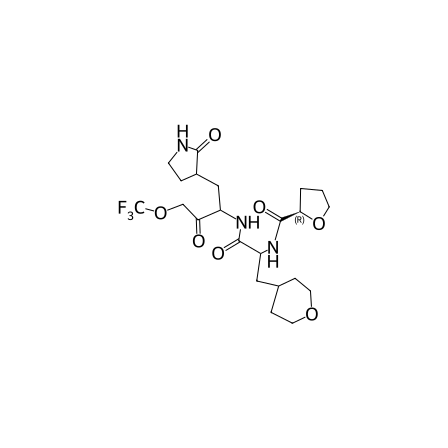 O=C1NCCC1CC(NC(=O)C(CC1CCOCC1)NC(=O)[C@H]1CCCO1)C(=O)COC(F)(F)F